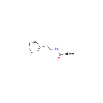 CCCCCCC(=O)NCCC1=CCCC=C1